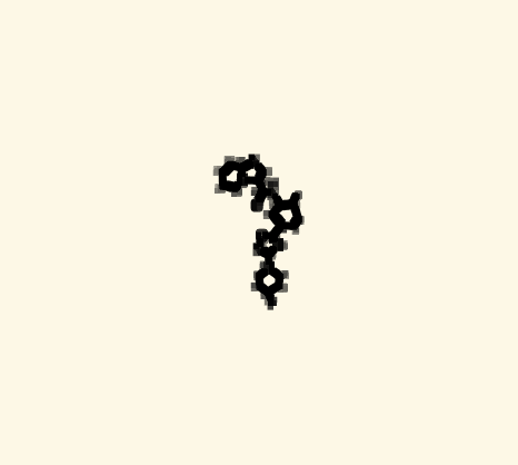 Cc1ccc(-c2nc(N3CCC(F)CC3)no2)cc1NC(=O)c1cnc2ccccn12